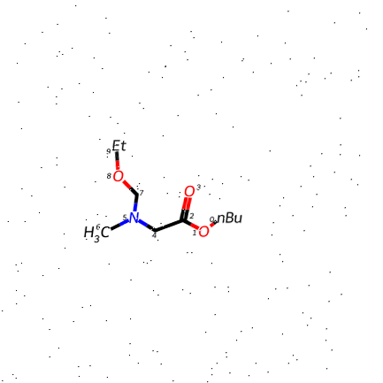 CCCCOC(=O)CN(C)COCC